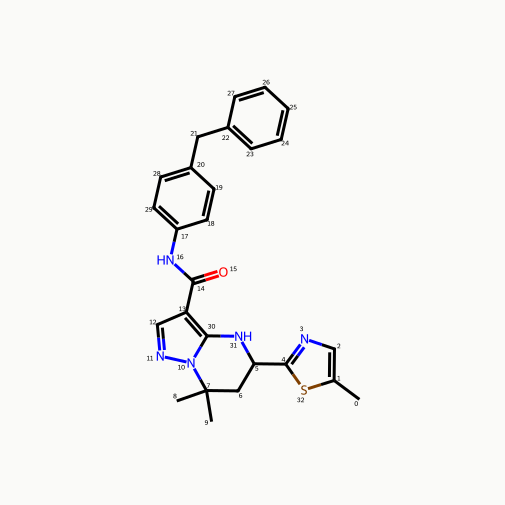 Cc1cnc(C2CC(C)(C)n3ncc(C(=O)Nc4ccc(Cc5ccccc5)cc4)c3N2)s1